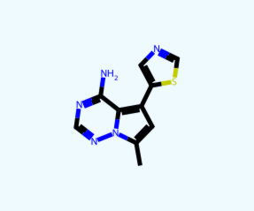 Cc1cc(-c2cncs2)c2c(N)ncnn12